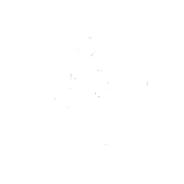 O=C(c1ccccc1)c1[nH]c2cc(Cl)ccc2c1N(C(=O)Cc1ccccc1)C(=O)Cc1ccccc1